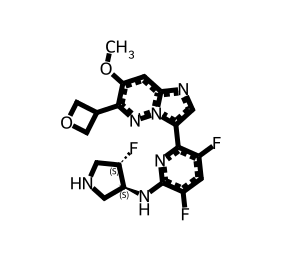 COc1cc2ncc(-c3nc(N[C@H]4CNC[C@@H]4F)c(F)cc3F)n2nc1C1COC1